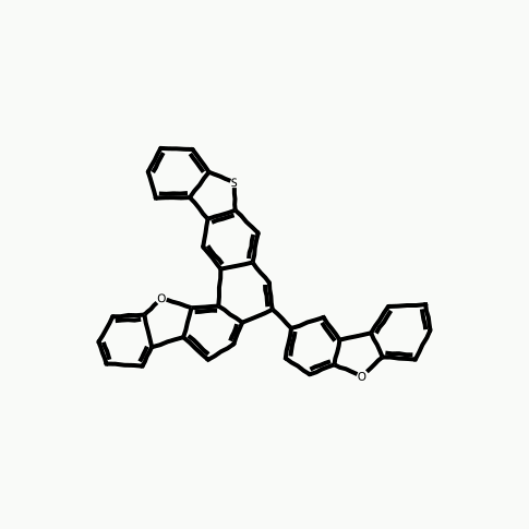 c1ccc2c(c1)oc1ccc(-c3cc4cc5sc6ccccc6c5cc4c4c3ccc3c5ccccc5oc34)cc12